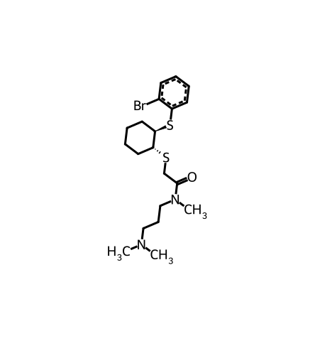 CN(C)CCCN(C)C(=O)CS[C@@H]1CCCC[C@H]1Sc1ccccc1Br